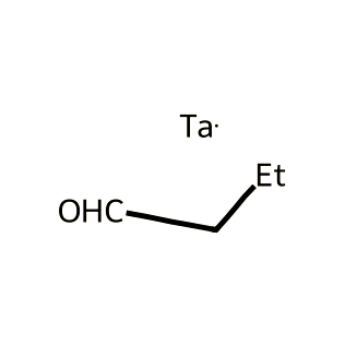 CCCC=O.[Ta]